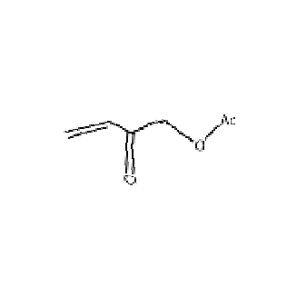 C=CC(=O)COC(C)=O